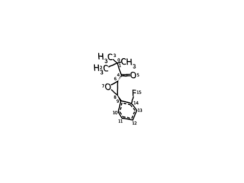 CC(C)(C)C(=O)[C@H]1O[C@@H]1c1ccccc1F